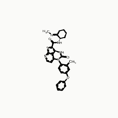 C/N=C1\CCCC[C@@H]1NC(=O)c1sc2nccc3c2c1NC(=O)N3c1ccc(Oc2ccccc2)cc1C